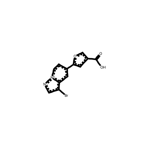 O=C(O)c1coc(-c2ccn3ncc(Br)c3c2)c1